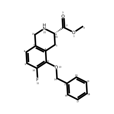 COC(=O)[C@@H]1Cc2c(ccc(F)c2OCc2ccccc2)CN1